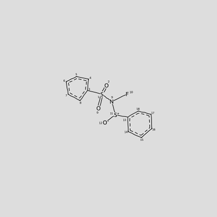 O=S(=O)(c1ccccc1)N(F)[S+]([O-])c1ccccc1